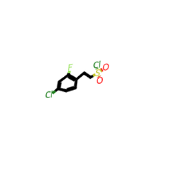 O=S(=O)(Cl)CCc1ccc(Cl)cc1F